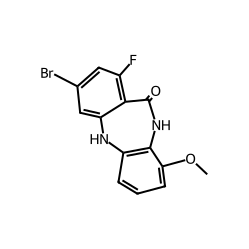 COc1cccc2c1NC(=O)c1c(F)cc(Br)cc1N2